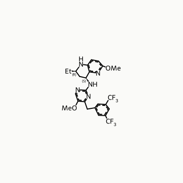 CC[C@@H]1C[C@H](Nc2ncc(OC)c(Cc3cc(C(F)(F)F)cc(C(F)(F)F)c3)n2)c2nc(OC)ccc2N1